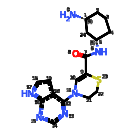 N[C@@H]1CCC[C@H](NC(=O)C2=CN(c3ncnc4[nH]ccc34)CCS2)C1